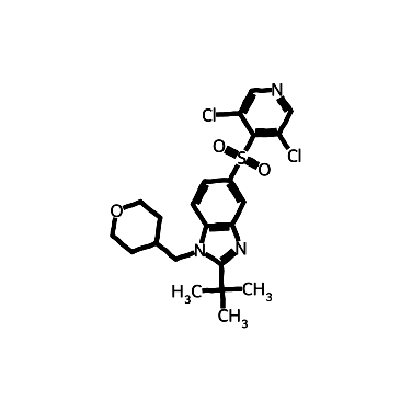 CC(C)(C)c1nc2cc(S(=O)(=O)c3c(Cl)cncc3Cl)ccc2n1CC1CCOCC1